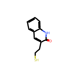 O=c1[nH]c2ccccc2cc1CCS